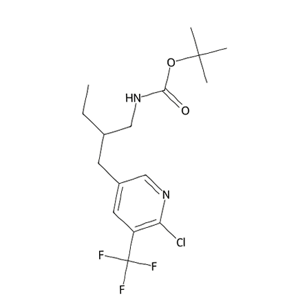 CCC(CNC(=O)OC(C)(C)C)Cc1cnc(Cl)c(C(F)(F)F)c1